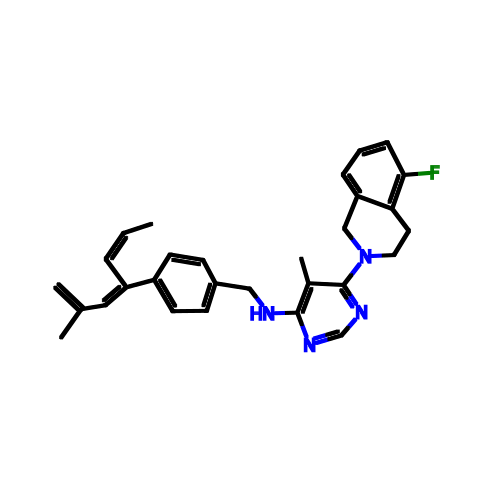 C=C(C)/C=C(\C=C/C)c1ccc(CNc2ncnc(N3CCc4c(F)cccc4C3)c2C)cc1